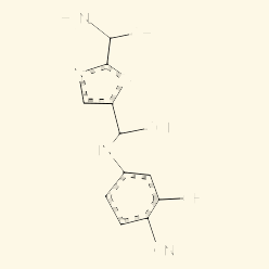 CC(N)c1ncc(C(O)Nc2ccc(C#N)c(C(F)(F)F)c2)s1